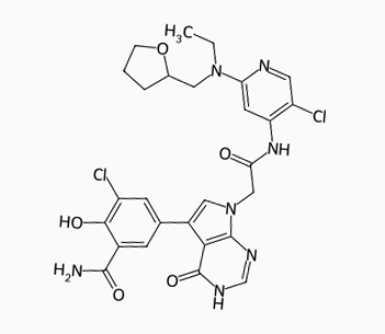 CCN(CC1CCCO1)c1cc(NC(=O)Cn2cc(-c3cc(Cl)c(O)c(C(N)=O)c3)c3c(=O)[nH]cnc32)c(Cl)cn1